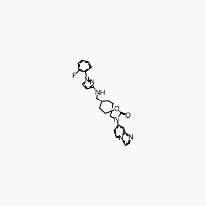 O=C1O[C@]2(CC[C@H](CNc3ccn(-c4ccccc4F)n3)CC2)CN1c1ccn2ccnc2c1